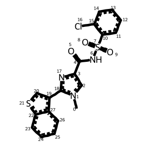 Cn1cc(C(=O)NS(=O)(=O)c2ccccc2Cl)nc1-c1csc2ccccc12